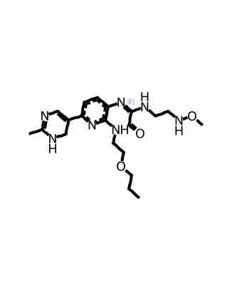 CCCOCCNc1nc(C2=CN=C(C)NC2)ccc1/N=C(\C=O)NCCNOC